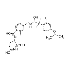 CC(C)Oc1ccc(C(F)(F)C(O)NCc2ccc3c(c2)CN(C2CC[C@H](O)N[C@@H]2O)[C@H]3O)c(F)c1